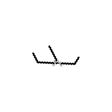 CCCCCC/C=C\CCCCCCCCCC(=O)OC[C@@H](COC(=O)CCCCCCCCCCC/C=C\CCCCCCCC)OC(=O)CCCCCCCCCCCCC